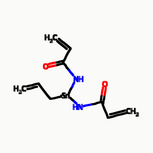 C=C[CH2][Sn]([NH]C(=O)C=C)[NH]C(=O)C=C